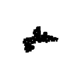 CCCOc1ccc2oc(C(=O)N[C@H](C=C3CCC(c4ccccc4CN4CCCCC4=O)CC3)Cc3ccc(Cl)cc3)cc(=O)c2c1